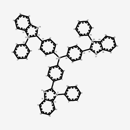 c1ccc(-n2c(-c3ccc(N(c4ccc(-c5nc6ccccc6n5-c5ccccc5)cc4)c4ccc(-c5nc6ccccc6n5-c5ccccc5)cc4)cc3)nc3ccccc32)cc1